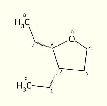 CC[C@H]1CCO[C@H]1CC